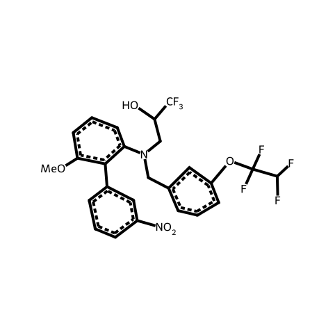 COc1cccc(N(Cc2cccc(OC(F)(F)C(F)F)c2)CC(O)C(F)(F)F)c1-c1cccc([N+](=O)[O-])c1